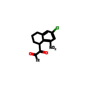 CCC(=O)C(=O)C1CCCc2cc(Cl)cc([N+](=O)[O-])c21